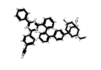 CC[C@@H]1C[C@@H]2C[C@H](C)CC(c3ccc(-c4ccccc4-c4ccccc4-c4nc(-c5ccccc5)nc(-c5ccc(C#N)cc5)n4)cc3)(C1)C2